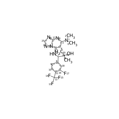 CN(C)c1cc(NC(c2ccc(C(F)(F)F)c(F)c2)C(C)(C)O)n2ncnc2n1